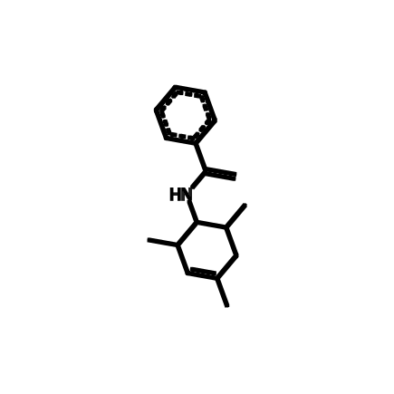 C=C(NC1C(C)C=C(C)CC1C)c1ccccc1